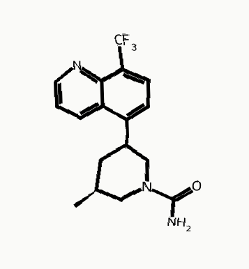 C[C@H]1C[C](c2ccc(C(F)(F)F)c3ncccc23)CN(C(N)=O)C1